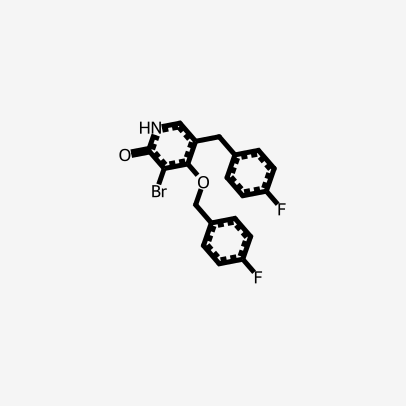 O=c1[nH]cc(Cc2ccc(F)cc2)c(OCc2ccc(F)cc2)c1Br